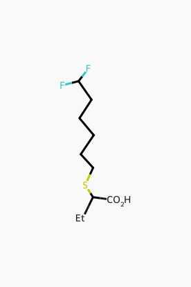 CCC(SCCCCCC(F)F)C(=O)O